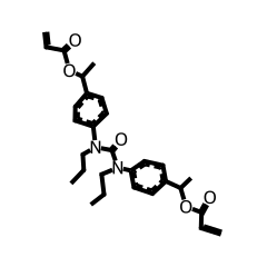 C=CC(=O)OC(C)c1ccc(N(CCC)C(=O)N(CCC)c2ccc(C(C)OC(=O)C=C)cc2)cc1